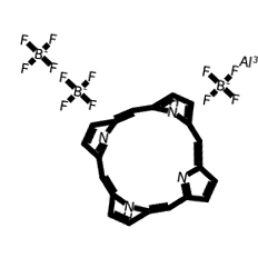 C1=Cc2cc3ccc(cc4nc(cc5ccc(cc1n2)[nH]5)C=C4)[nH]3.F[B-](F)(F)F.F[B-](F)(F)F.F[B-](F)(F)F.[Al+3]